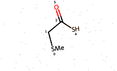 CSCC(=O)S